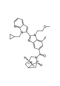 COCCn1c(-c2cc3cccnc3n2CC2CC2)nc2cc(C(=O)N3C[C@H]4CC5C[C@@H]3[C@H]54)cc(F)c21